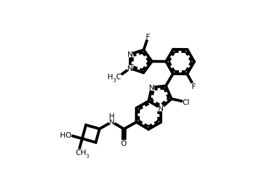 Cn1cc(-c2cccc(F)c2-c2nc3cc(C(=O)NC4CC(C)(O)C4)ccn3c2Cl)c(F)n1